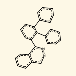 c1ccc(-c2cccc(-c3nncc4ccccc34)c2-c2ccccc2)cc1